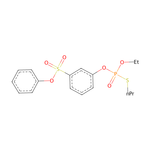 CCCSP(=O)(OCC)Oc1cccc(S(=O)(=O)Oc2ccccc2)c1